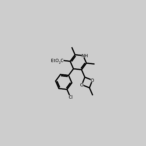 CCOC(=O)C1=C(C)NC(C)=C(C2OC(C)O2)C1c1cccc(Cl)c1